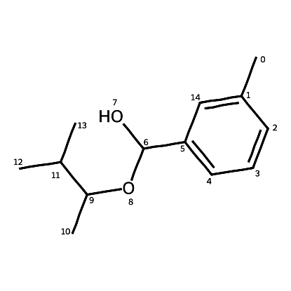 Cc1cccc(C(O)OC(C)C(C)C)c1